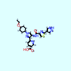 CCOC1CCC(n2cc(NC(=O)c3csc(-c4cn[nH]c4)n3)c(-c3ccccn3)n2)CC1.O=CO